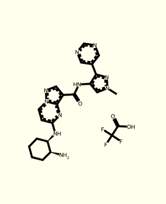 Cn1cc(NC(=O)c2cnn3ccc(N[C@@H]4CCCC[C@@H]4N)nc23)c(-c2cncnc2)n1.O=C(O)C(F)(F)F